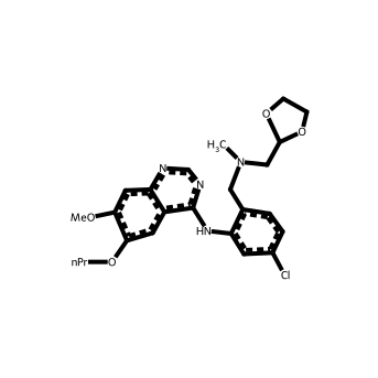 [CH2]CCOc1cc2c(Nc3cc(Cl)ccc3CN(C)CC3OCCO3)ncnc2cc1OC